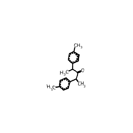 Cc1ccc(C(C)C(=O)C(C)c2ccc(C)cc2)cc1